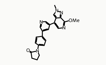 COc1ncc(-c2cncc(-c3ccc(N4CCCC4=O)cc3)c2)c2cn(C)nc12